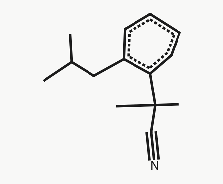 CC(C)Cc1ccccc1C(C)(C)C#N